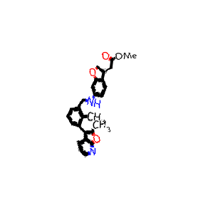 COC(=O)C[C@@H]1COc2cc(NCc3cccc(-c4c(C)oc5ncccc45)c3C)ccc21